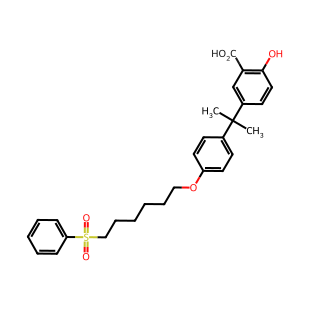 CC(C)(c1ccc(OCCCCCCS(=O)(=O)c2ccccc2)cc1)c1ccc(O)c(C(=O)O)c1